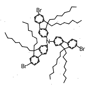 CCCCCCCCC1(CCCCCCCC)c2cc(Br)ccc2-c2ccc(N(c3ccc4c(c3)C(CCCCCCCC)(CCCCCCCC)c3cc(Br)ccc3-4)c3ccc4c(c3)C(CCCCCCCC)(CCCCCCCC)c3cc(Br)ccc3-4)cc21